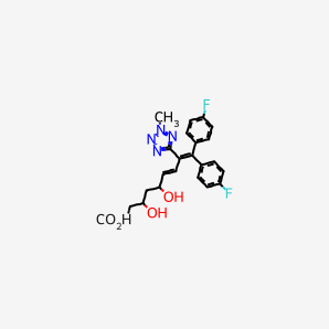 Cn1nnc(C(C=CC(O)CC(O)CC(=O)O)=C(c2ccc(F)cc2)c2ccc(F)cc2)n1